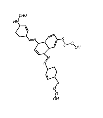 O=CNC1C=CC(N=NC2C=CC(N=NC3C=CC(SOOO)CC3)C3C=C(SOOO)C=CC23)CC1